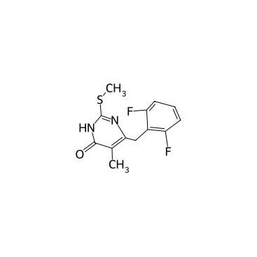 CSc1nc(Cc2c(F)cccc2F)c(C)c(=O)[nH]1